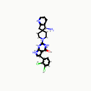 N[C@@H]1c2cccnc2CC12CCN(c1nc3[nH]cc(-c4cccc(Cl)c4Cl)c3c(=O)[nH]1)CC2